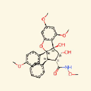 CONC(=O)[C@H]1[C@@H](O)[C@@]2(O)c3c(OC)cc(OC)cc3O[C@@]2(c2ccc(OC)cc2)[C@@H]1c1ccccc1